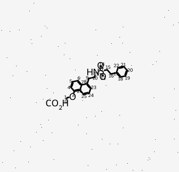 O=C(O)COc1cccc2c(CCNS(=O)(=O)CCc3ccccc3)cccc12